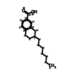 CCCCCCCC1CCc2ccc(C(=O)O)cc2C1